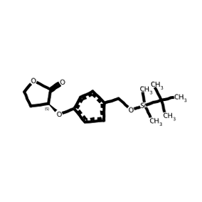 CC(C)(C)[Si](C)(C)OCc1ccc(O[C@H]2CCOC2=O)cc1